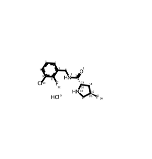 Cl.O=C(NCc1cccc(Cl)c1F)[C@@H]1C[C@@H](F)CN1